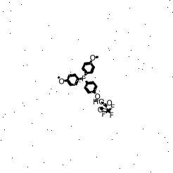 COc1ccc(P(c2ccc(OC)cc2)c2ccc(OC)cc2)cc1.O=S(=O)(O)C(F)(F)F